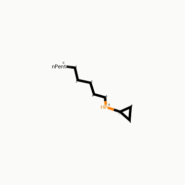 CCCCCCCCCCPC1CC1